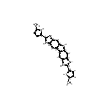 Cc1ccc(-c2nc3cc4sc5cc6nc(-c7ccc(C)s7)sc6cc5c4cc3s2)s1